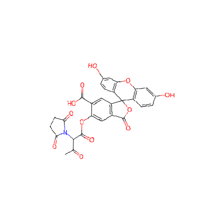 CC(=O)C(C(=O)Oc1cc2c(cc1C(=O)O)C1(OC2=O)c2ccc(O)cc2Oc2cc(O)ccc21)N1C(=O)CCC1=O